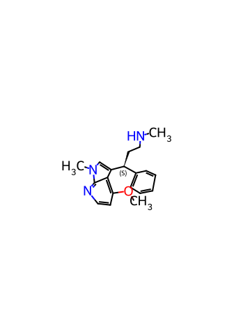 CNCC[C@@H](c1ccccc1)c1cn(C)c2nccc(OC)c12